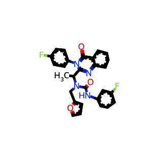 CC(c1nc2ccccc2c(=O)n1-c1ccc(F)cc1)N(Cc1ccco1)C(=O)Nc1cccc(F)c1